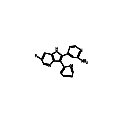 Nc1cc(-c2[nH]c3cc(F)cnc3c2-c2ccccn2)ccn1